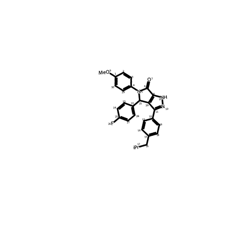 COc1ccc(N2C(=O)c3[nH]nc(-c4ccc(CC(C)C)cc4)c3C2c2ccc(F)cc2)cc1